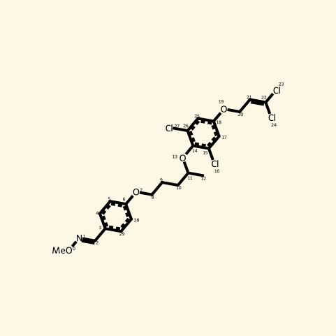 CON=Cc1ccc(OCCCC(C)Oc2c(Cl)cc(OCC=C(Cl)Cl)cc2Cl)cc1